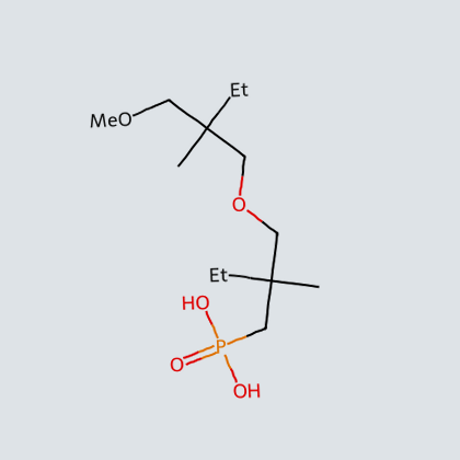 CCC(C)(COC)COCC(C)(CC)CP(=O)(O)O